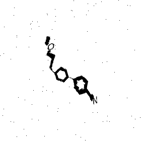 C=COCCC[C@H]1CC[C@H](c2ccc(C#N)cc2)CC1